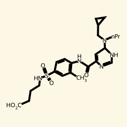 CCCN(CC1CC1)C1C=C(C(=O)Nc2ccc(S(=O)(=O)NCCCC(=O)O)cc2C)N=CN1